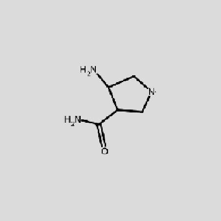 NC(=O)C1C[N]CC1N